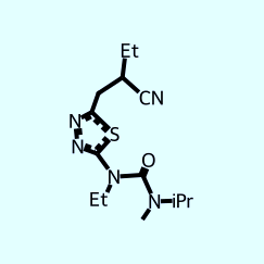 CCC(C#N)Cc1nnc(N(CC)C(=O)N(C)C(C)C)s1